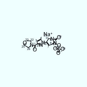 O=C(c1ccn(C2=CC3CN(C2)C(=O)N3OS(=O)(=O)[O-])n1)N1CCOCC1.[Na+]